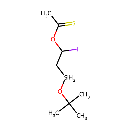 CC(=S)OC(I)C[SiH2]OC(C)(C)C